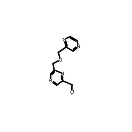 ClCc1cncc(COCc2cnccn2)n1